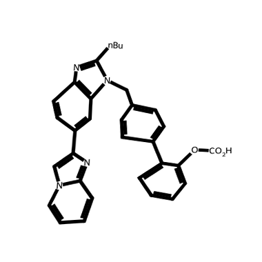 CCCCc1nc2ccc(-c3cn4ccccc4n3)cc2n1Cc1ccc(-c2ccccc2OC(=O)O)cc1